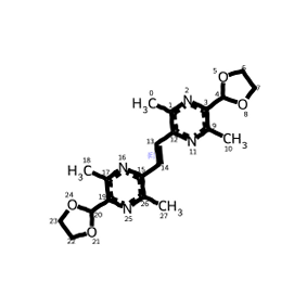 Cc1nc(C2OCCO2)c(C)nc1/C=C/c1nc(C)c(C2OCCO2)nc1C